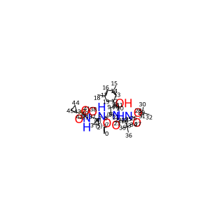 C=C[C@@H]1C[C@]1(NC(=O)[C@@H]1C[C@@](O)(C2C=C(C)C=C(C)C2)CN1C(=O)[C@@H](NC(=O)OC(C)(C)C)C(C)(C)C)C(=O)NS(=O)(=O)C1CC1